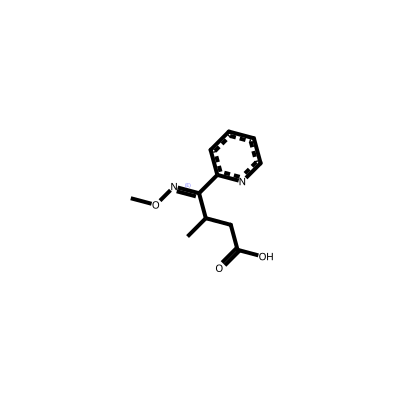 CO/N=C(/c1ccccn1)C(C)CC(=O)O